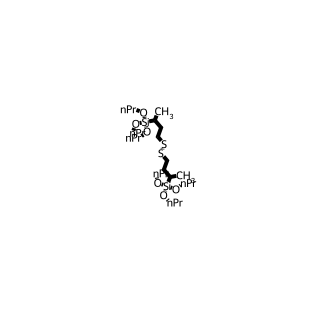 CCCO[Si](OCCC)(OCCC)C(C)CCSSCCC(C)[Si](OCCC)(OCCC)OCCC